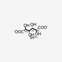 O=C([O-])[C@@H](O)[C@@H](O)[C@H](O)[C@@H](O)C(=O)[O-].[Sn+2]